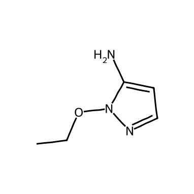 CCOn1nccc1N